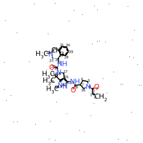 C=CC(=O)N1CCC(C(=O)Nc2nn(C)c3c2CN(C(=O)N[C@H](CN(C)C)c2ccccc2)C3(C)C)C1